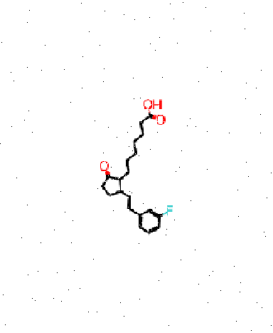 O=C(O)CCCCCCC1C(=O)CCC1C=Cc1cccc(F)c1